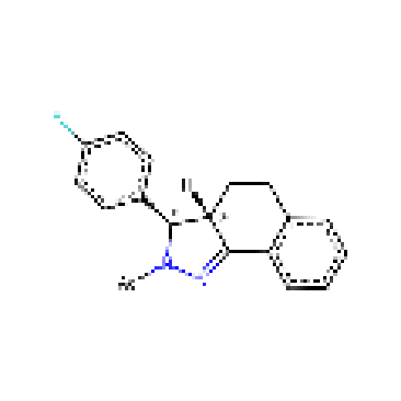 CC(=O)N1N=C2c3ccccc3CC[C@H]2[C@@H]1c1ccc(F)cc1